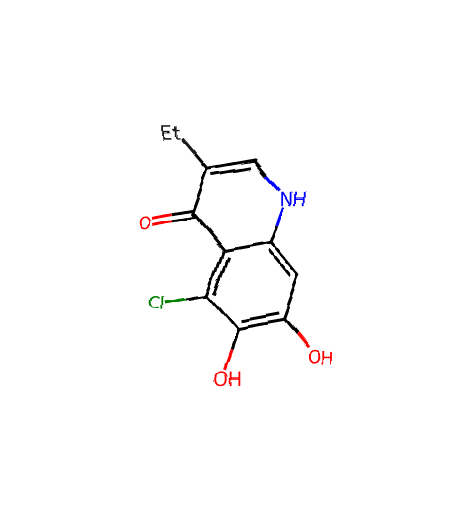 CCc1c[nH]c2cc(O)c(O)c(Cl)c2c1=O